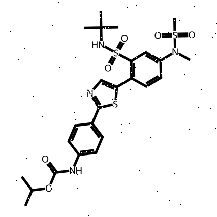 CC(C)OC(=O)Nc1ccc(-c2ncc(-c3ccc(N(C)S(C)(=O)=O)cc3S(=O)(=O)NC(C)(C)C)s2)cc1